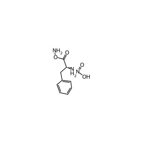 NOC(=O)[C@@H](N)Cc1ccccc1.O=NO